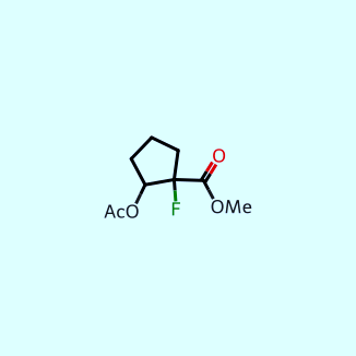 COC(=O)C1(F)CCCC1OC(C)=O